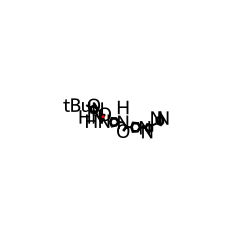 CC(C)(C)c1cc(NC(=O)Nc2ccc(NC(=O)c3ccc(-n4cc(-c5ccncn5)cn4)cc3)cc2)no1